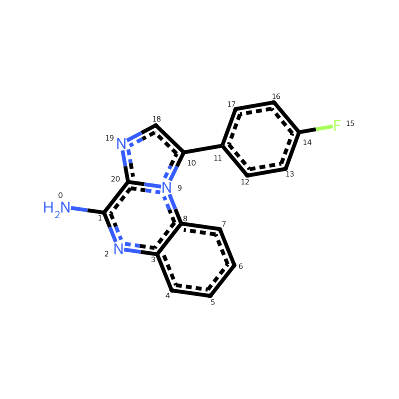 Nc1nc2ccccc2n2c(-c3ccc(F)cc3)cnc12